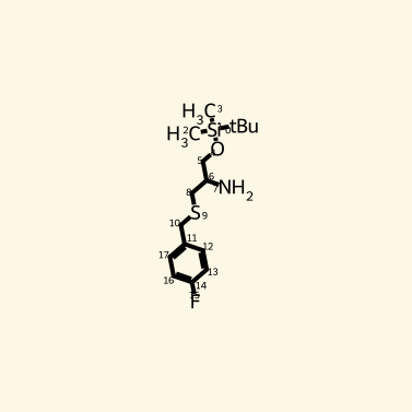 CC(C)(C)[Si](C)(C)OCC(N)CSCc1ccc(F)cc1